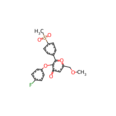 COCc1cc(=O)c(Oc2ccc(F)cc2)c(-c2ccc(S(C)(=O)=O)cc2)o1